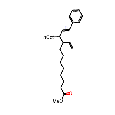 C=CC(CCCCCCCC(=O)OC)C(/C=C/c1ccccc1)CCCCCCCC